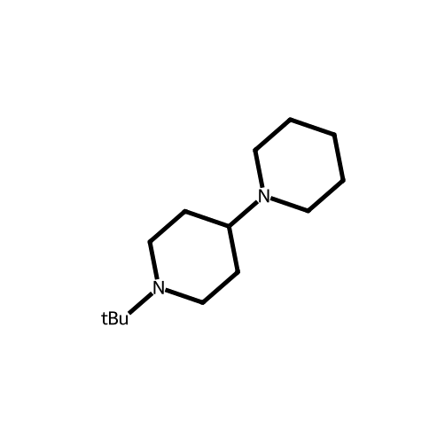 CC(C)(C)N1CCC(N2CCCCC2)CC1